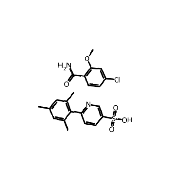 COc1cc(Cl)ccc1C(N)=O.Cc1cc(C)c(-c2ccc(S(=O)(=O)O)cn2)c(C)c1